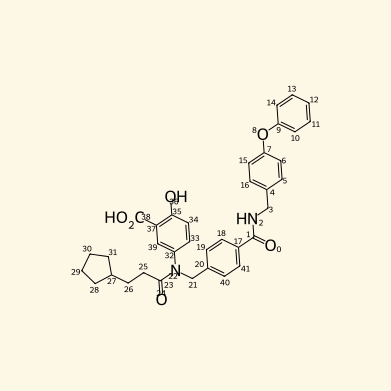 O=C(NCc1ccc(Oc2ccccc2)cc1)c1ccc(CN(C(=O)CCC2CCCC2)c2ccc(O)c(C(=O)O)c2)cc1